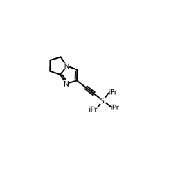 CC(C)[Si](C#Cc1cn2c(n1)CCC2)(C(C)C)C(C)C